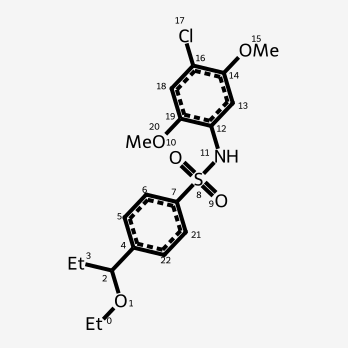 CCOC(CC)c1ccc(S(=O)(=O)Nc2cc(OC)c(Cl)cc2OC)cc1